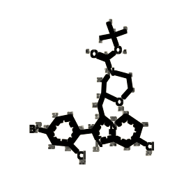 CC(C)(C)OC(=O)N1CCOC(Cc2c(-c3ccc(Br)cc3Cl)nc3cc(Cl)ccn23)C1